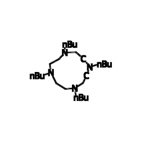 CCCCN1CCN(CCCC)CCN(CCCC)CCN(CCCC)CC1